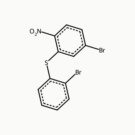 O=[N+]([O-])c1ccc(Br)cc1Sc1ccccc1Br